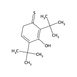 CC(C)(C)C1=CCC(=S)C(C(C)(C)C)=C1O